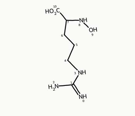 N=C(N)NCCCC(NO)C(=O)O